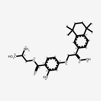 CC1(C)CCC(C)(C)c2cc(/C(COc3ccc(C(=O)OCC(N)C(=O)O)c(O)c3)=N\O)ccc21